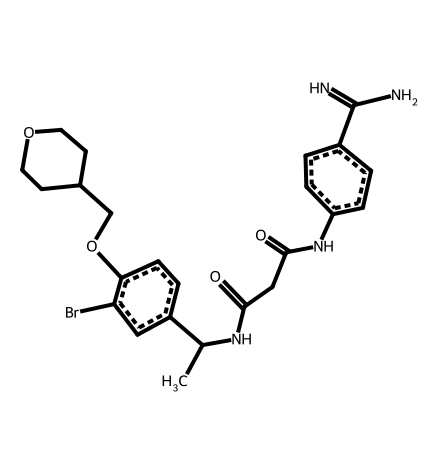 CC(NC(=O)CC(=O)Nc1ccc(C(=N)N)cc1)c1ccc(OCC2CCOCC2)c(Br)c1